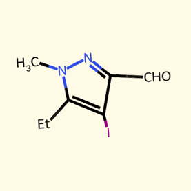 CCc1c(I)c(C=O)nn1C